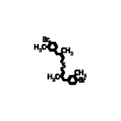 CC(=CCSCC=C(C)Cc1ccc(Br)c(C)c1)Cc1ccc(Br)c(C)c1